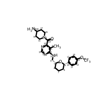 Cc1c(NC[C@H]2CCC[C@@H](c3ccc(OC(F)(F)F)cc3)O2)ncnc1C(=O)N1CCC(N)CC1